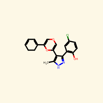 Cc1[nH]nc(-c2cc(Cl)ccc2O)c1C1=COC=C(C2=CC=CCC2)O1